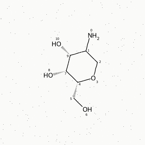 NC1CO[C@H](CO)[C@H](O)[C@@H]1O